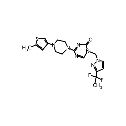 Cc1cc(N2CCN(c3ncn(Cn4ccc(C(C)(F)F)n4)c(=O)n3)CC2)cs1